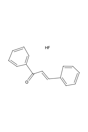 F.O=C(C=Cc1ccccc1)c1ccccc1